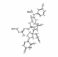 CCOCC(=O)O[C@H]1C(n2ccc(=O)[nH]c2=O)O[C@@](CO[PH](=O)OCC[C@H](OC)c2cccc(Cl)c2)(N=[N+]=[N-])[C@H]1OC(=O)COCC